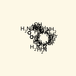 CC[C@@H]1NC(=O)[C@@H](CC(C)C)NC(=O)[C@H](CCN)NC(=O)[C@@H](NC(=O)[C@H](CN)NC(=O)[C@@H](NC(=O)CC(CN)c2cccc(-c3ccccc3)c2)[C@@H](C)O)CCNC(=O)[C@H]([C@@H](C)O)NC(=O)[C@H](CCN)NC(=O)[C@H](CCCN)NC1=O